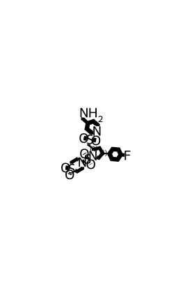 NCc1ccnc(S(=O)(=O)C[C@H]2C[C@@H](c3ccc(F)cc3)CN2S(=O)(=O)N2CCS(=O)(=O)CC2)c1